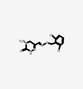 NN1CC(/C=N/OCc2c(Cl)cccc2Cl)=NNC1=O